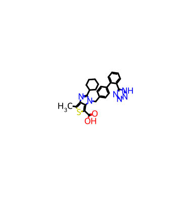 Cc1sc(C(=O)O)c2c1nc(C1CCCCC1)n2Cc1ccc(-c2ccccc2-c2nnn[nH]2)cc1